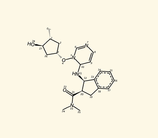 [CH2][C@@H]1C[C@H](ON2C=NC=CC2N[C@H]2c3ccccc3C[C@H]2C(=O)N(C)C)C[C@H]1O